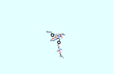 C=CCOC(=O)NCCOc1ccc(C[C@H]2[C@@H](CN(CC(C)C)S(=O)(=O)c3ccc(OC)cc3)OC(C)(C)N2C(=O)OC(C)(C)C)cc1